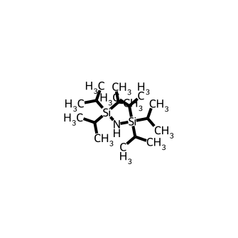 CC(C)[Si](N[Si](C(C)C)(C(C)C)C(C)C)(C(C)C)C(C)C